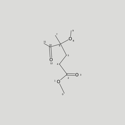 COC(=O)CCC(C)(OC)C(C)=O